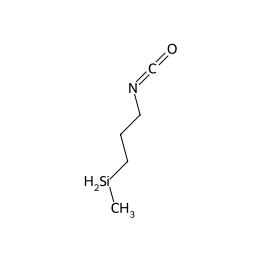 C[SiH2]CCCN=C=O